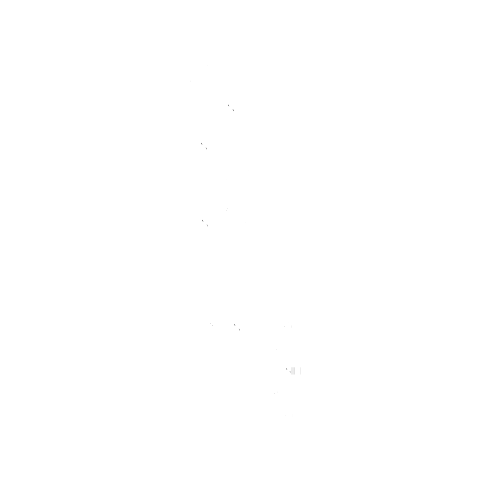 O=C1CCC(N2Cc3cc(NC(=O)c4cnc5c(ccn5C5CC5)c4)ccc3C2=O)C(=O)N1